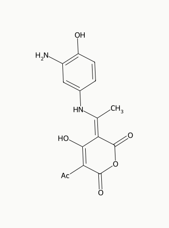 CC(=O)C1=C(O)C(=C(C)Nc2ccc(O)c(N)c2)C(=O)OC1=O